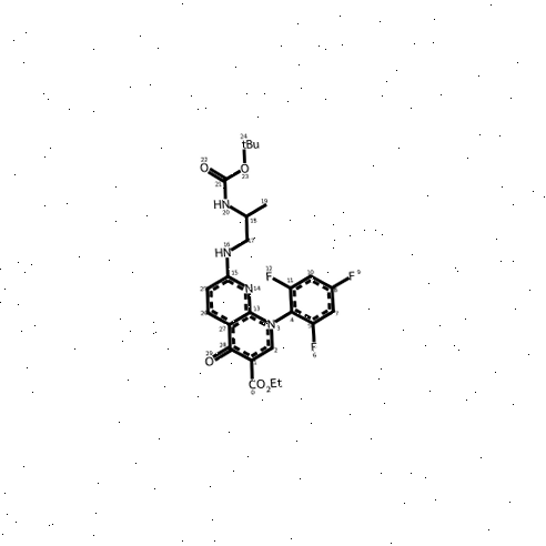 CCOC(=O)c1cn(-c2c(F)cc(F)cc2F)c2nc(NCC(C)NC(=O)OC(C)(C)C)ccc2c1=O